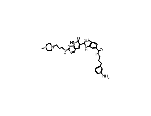 CN1CCN(CCCNc2ncc3cc(C(=O)Nc4cc(C(=O)NCCCc5cccc(N)c5)ccc4Cl)c(=O)[nH]c3n2)CC1